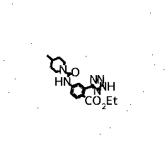 CCOC(=O)c1ccc(NC(=O)N2CCC(C)CC2)cc1-c1nn[nH]n1